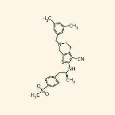 C=C(Cc1ccc(S(C)(=O)=O)cc1)Nc1sc2c(c1C#N)CCN(Cc1cc(C)cc(C)c1)C2